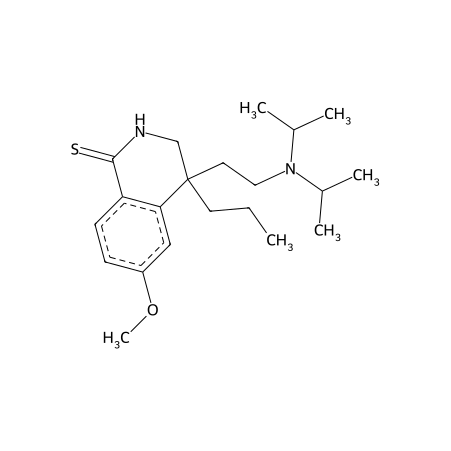 CCCC1(CCN(C(C)C)C(C)C)CNC(=S)c2ccc(OC)cc21